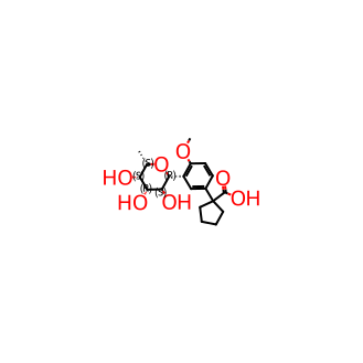 COc1ccc(C2(C(=O)O)CCCC2)cc1[C@H]1O[C@@H](C)[C@@H](O)[C@@H](O)[C@@H]1O